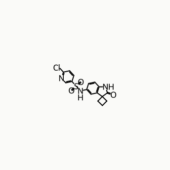 O=C1Nc2ccc(NS(=O)(=O)c3ccc(Cl)nc3)cc2C12CCC2